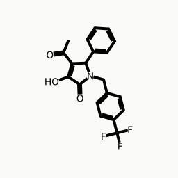 CC(=O)C1=C(O)C(=O)N(Cc2ccc(C(F)(F)F)cc2)C1c1ccccc1